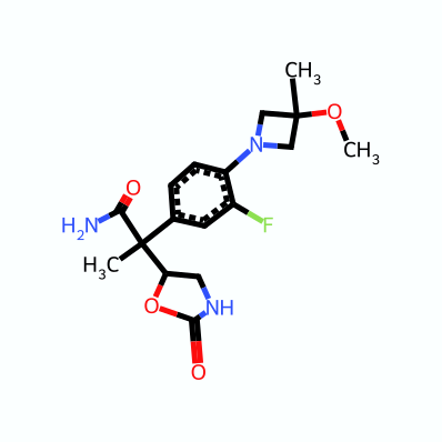 COC1(C)CN(c2ccc(C(C)(C(N)=O)C3CNC(=O)O3)cc2F)C1